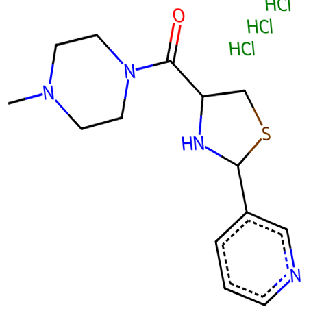 CN1CCN(C(=O)C2CSC(c3cccnc3)N2)CC1.Cl.Cl.Cl